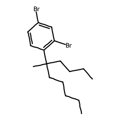 CCCCCC(C)(CCCC)c1ccc(Br)cc1Br